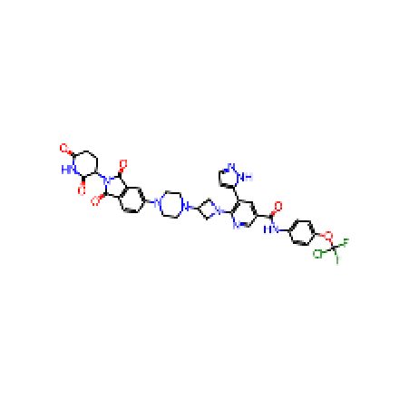 O=C1CCC(N2C(=O)c3ccc(N4CCN(C5CN(c6ncc(C(=O)Nc7ccc(OC(F)(F)Cl)cc7)cc6-c6ccn[nH]6)C5)CC4)cc3C2=O)C(=O)N1